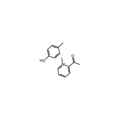 CC(=O)c1cccc[n+]1C.Cc1ccc(O)cc1